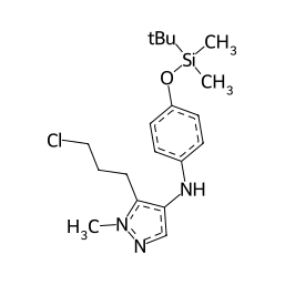 Cn1ncc(Nc2ccc(O[Si](C)(C)C(C)(C)C)cc2)c1CCCCl